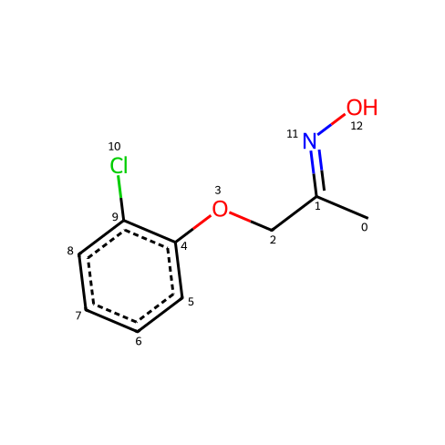 CC(COc1ccccc1Cl)=NO